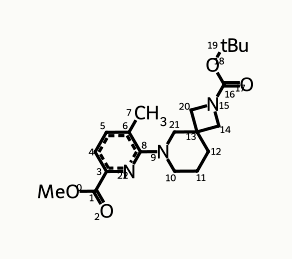 COC(=O)c1ccc(C)c(N2CCCC3(CN(C(=O)OC(C)(C)C)C3)C2)n1